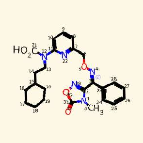 Cn1c(/C(=N\OCc2cccc(N(CCC3CCCCC3)C(=O)O)n2)c2ccccc2)noc1=O